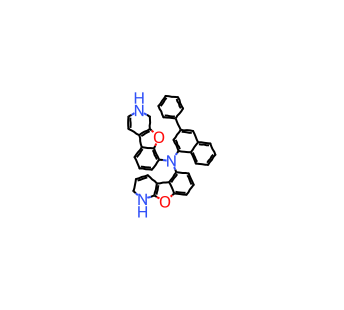 C1=Cc2c(oc3cccc(N(c4cc(-c5ccccc5)cc5ccccc45)c4cccc5c6c(oc45)CNC=C6)c23)NC1